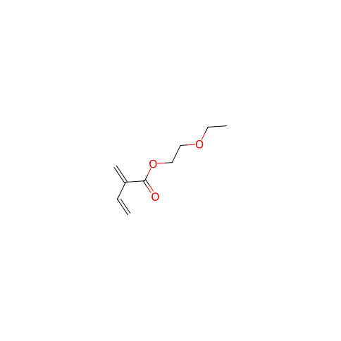 C=CC(=C)C(=O)OCCOCC